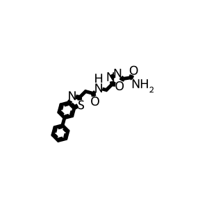 NC(=O)c1nnc(CNC(=O)Cc2nc3ccc(-c4ccccc4)cc3s2)o1